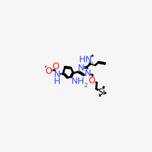 C=CC[C@H](NC)c1nc(-c2ccc(NC(=O)OC)cc2N)cn1COCC[Si](C)(C)C